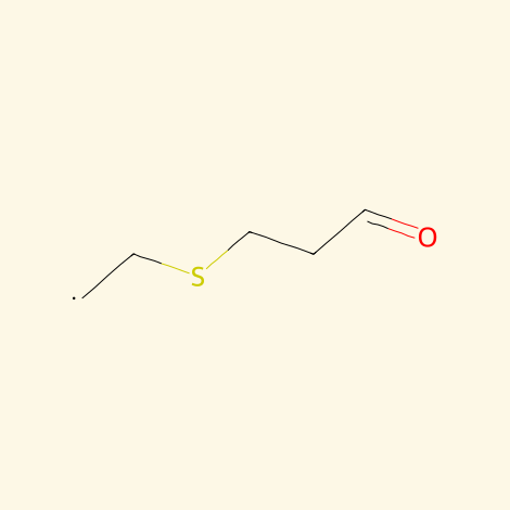 [CH2]CSCCC=O